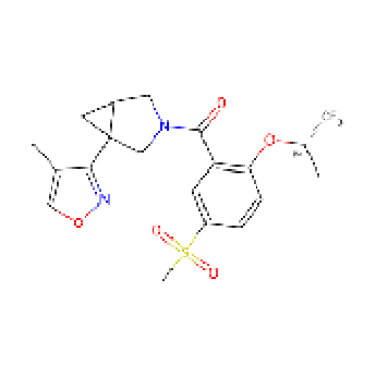 Cc1conc1C12CC1CN(C(=O)c1cc(S(C)(=O)=O)ccc1O[C@@H](C)C(F)(F)F)C2